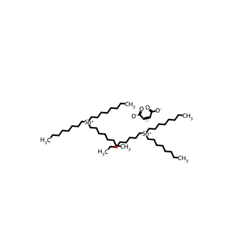 CCCCCCC[CH2][Sn+]([CH2]CCCCCCC)[CH2]CCCCCCC.CCCCCCC[CH2][Sn+]([CH2]CCCCCCC)[CH2]CCCCCCC.O=C([O-])/C=C\C(=O)[O-]